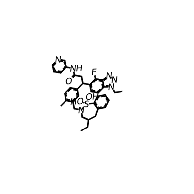 CCC1Cc2ccccc2S(O)(O)N(Cc2cc(C(CC(=O)Nc3cccnc3)c3ccc4c(nnn4CC)c3F)ccc2C)C1